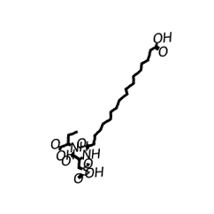 CCC(NC(=O)C(CS(=O)(=O)O)NC(=O)CCCCCCCCCCCCCCCCC(=O)O)C(=O)O